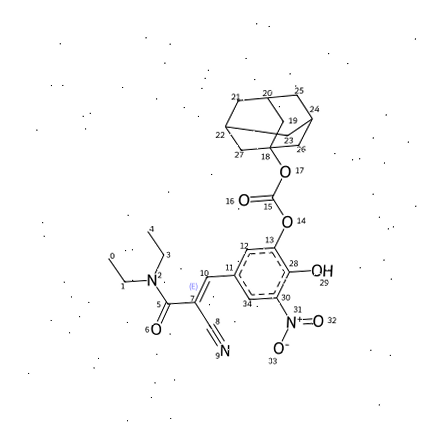 CCN(CC)C(=O)/C(C#N)=C/c1cc(OC(=O)OC23CC4CC(CC(C4)C2)C3)c(O)c([N+](=O)[O-])c1